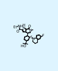 CCNC(=O)c1cc2c(-c3ccc(C(C)(C)O)cc3SN3CCCc4cc(F)ccc43)cn(C)c(=O)c2[nH]1